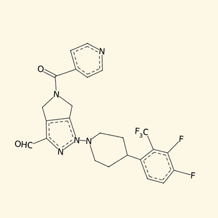 O=Cc1nn(N2CCC(c3ccc(F)c(F)c3C(F)(F)F)CC2)c2c1CN(C(=O)c1ccncc1)C2